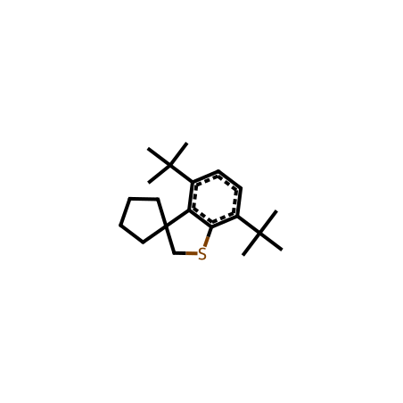 CC(C)(C)c1ccc(C(C)(C)C)c2c1SCC21CCCC1